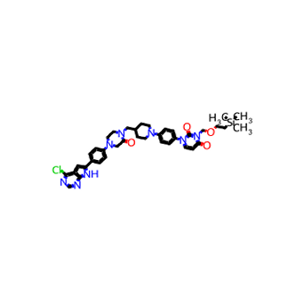 C[Si](C)(C)CCOCn1c(=O)ccn(-c2ccc(N3CCC(CN4CCN(c5ccc(-c6cc7c(Cl)ncnc7[nH]6)cc5)CC4=O)CC3)cc2)c1=O